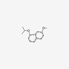 COc1ccc2cccc(OC(C)C)c2c1